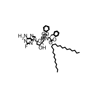 CCCCCCCCCCCC(CCCCCCCCCCC)OC(=O)[C@H](Cc1ccccc1)NP(=O)(OC[C@@]1(C)O[C@@H](n2cnc3c(N)nc(F)nc32)C[C@@H]1O)Oc1ccccc1